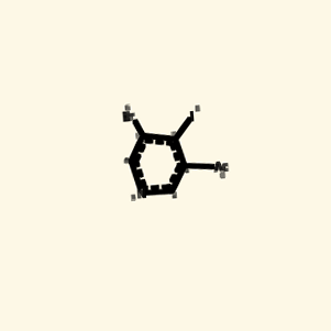 CC(=O)c1cncc(Br)c1I